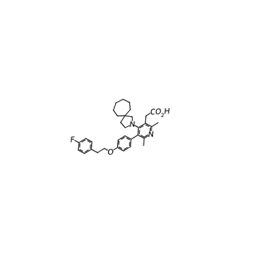 Cc1nc(C)c(-c2ccc(OCCc3ccc(F)cc3)cc2)c(N2CCC3(CCCCCC3)C2)c1CC(=O)O